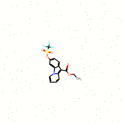 CCOC(=O)c1c2ccc(OS(=O)(=O)C(F)(F)F)cc2n2ccccc12